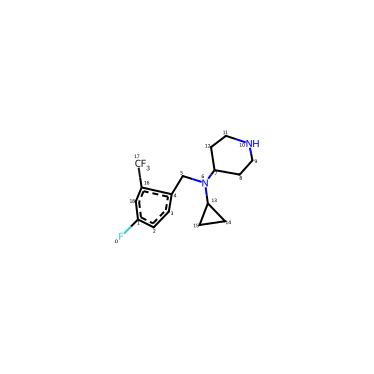 Fc1ccc(CN(C2CCNCC2)C2CC2)c(C(F)(F)F)c1